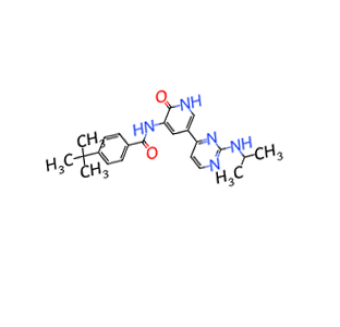 CC(C)Nc1nccc(-c2c[nH]c(=O)c(NC(=O)c3ccc(C(C)(C)C)cc3)c2)n1